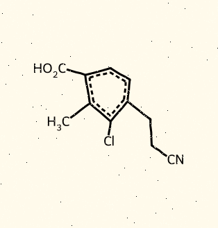 Cc1c(C(=O)O)ccc(CCC#N)c1Cl